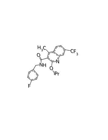 Cc1c(C(=O)NCc2ccc(F)cc2)c(OC(C)C)nc2cc(C(F)(F)F)ccc12